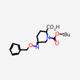 CC(C)(C)OC(=O)N1CC(=NOCc2ccccc2)CCC1C(=O)O